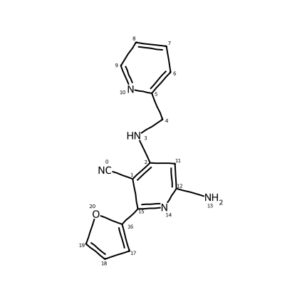 N#Cc1c(NCc2ccccn2)cc(N)nc1-c1ccco1